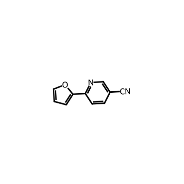 N#Cc1ccc(-c2ccco2)nc1